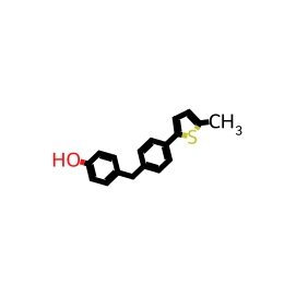 Cc1ccc(-c2ccc(Cc3ccc(O)cc3)cc2)s1